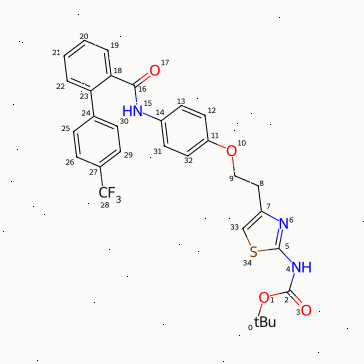 CC(C)(C)OC(=O)Nc1nc(CCOc2ccc(NC(=O)c3ccccc3-c3ccc(C(F)(F)F)cc3)cc2)cs1